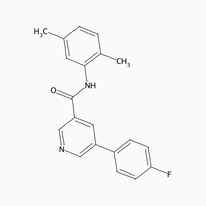 Cc1ccc(C)c(NC(=O)c2cncc(-c3ccc(F)cc3)c2)c1